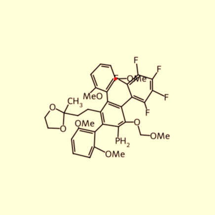 COCOc1c(P)c(-c2c(OC)cccc2OC)c(CCC2(C)OCCO2)c(-c2c(OC)cccc2OC)c1-c1c(F)c(F)c(F)c(F)c1F